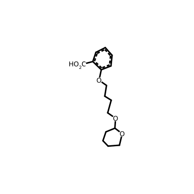 O=C(O)c1ccccc1OCCCCOC1CCCCO1